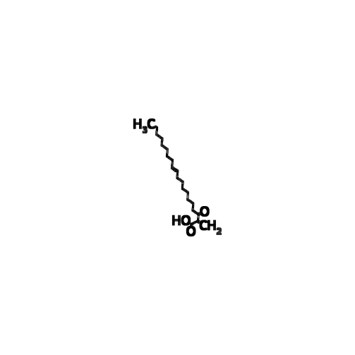 C=C(C(=O)O)C(=O)CCCCCCCC=CCCCCCCCC